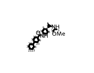 COCC(C)N[C@@H]1C[C@H]1c1ccc(NC(=O)c2ccc(-c3ccccc3)cc2)cc1